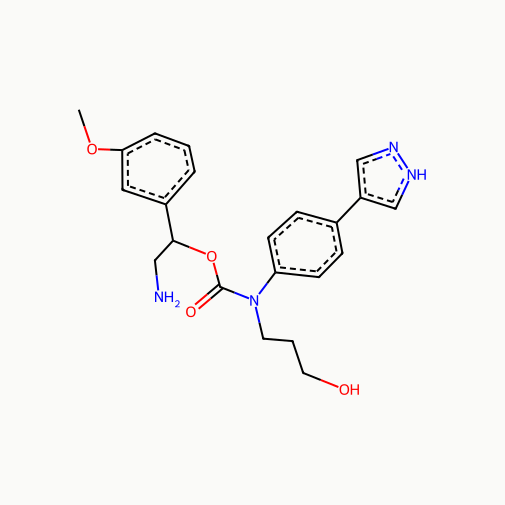 COc1cccc(C(CN)OC(=O)N(CCCO)c2ccc(-c3cn[nH]c3)cc2)c1